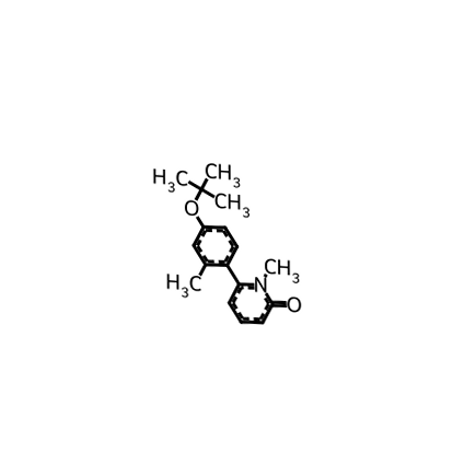 Cc1cc(OC(C)(C)C)ccc1-c1cccc(=O)n1C